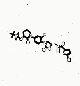 CC(C)(C)[Si](C)(C)OC1CCCN(c2ccc(N3C[C@H](CNC(=O)c4ccc(Cl)s4)OC3=O)c(F)c2)C1=O